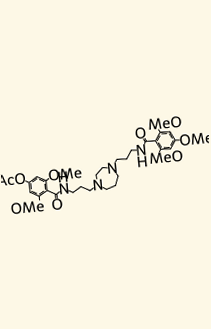 COc1cc(OC)c(C(=O)NCCCN2CCCN(CCCNC(=O)c3c(OC)cc(OC(C)=O)cc3OC)CC2)c(OC)c1